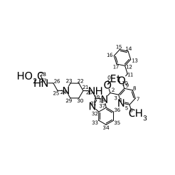 CCOC(c1nc(C)ccc1OCc1ccccc1)n1c(NC2CCN(CCNC(=O)O)CC2)nc2ccccc21